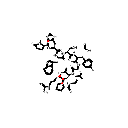 CCNC(=O)[C@@H]1CCCN1C(=O)[C@H](CCCNC(=N)N)NC(=O)[C@H](CC(C)C)NC(=O)[C@@H](CC(C)C)NC(=O)[C@H](Cc1ccc(O)cc1)NC(=O)[C@H](CO)NC(=O)[C@H](Cc1c[nH]c2ccccc12)NC(=O)[C@H](Cc1cnc[nH]1)NC(=O)[C@@H]1CCC(=O)N1.O=CO